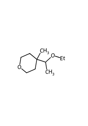 CCOC(C)C1(C)CCOCC1